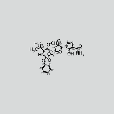 COC(=O)C(NP(=O)(OC[C@@H]1CC(=O)[C@H](n2cnc(C(N)=O)c2O)O1)Oc1ccccc1)C(C)C